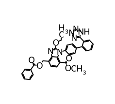 CCOc1nc2c(COC(=O)c3ccccc3)ccc(C(=O)OC)c2n1-c1ccc(-c2ccccc2-c2nnn[nH]2)cc1